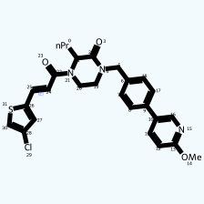 CCCC1C(=O)N(Cc2ccc(-c3ccc(OC)nc3)cc2)CCN1C(=O)/C=C/c1cc(Cl)cs1